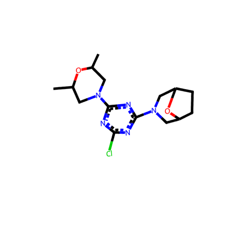 CC1CN(c2nc(Cl)nc(N3CC4CCC(C3)O4)n2)CC(C)O1